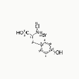 O=C(O)C(Cc1ccc(O)cc1)N(Cl)Br